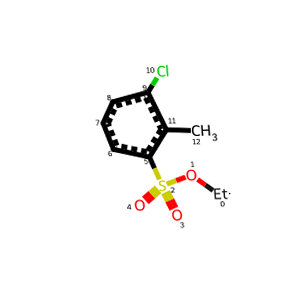 C[CH]OS(=O)(=O)c1cccc(Cl)c1C